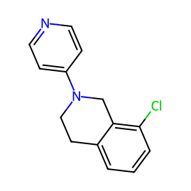 Clc1cccc2c1CN(c1ccncc1)CC2